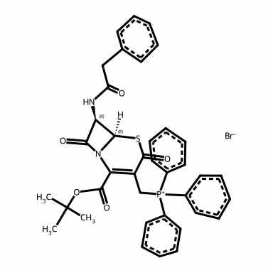 CC(C)(C)OC(=O)C1=C(C[P+](c2ccccc2)(c2ccccc2)c2ccccc2)C(=O)S[C@@H]2[C@H](NC(=O)Cc3ccccc3)C(=O)N12.[Br-]